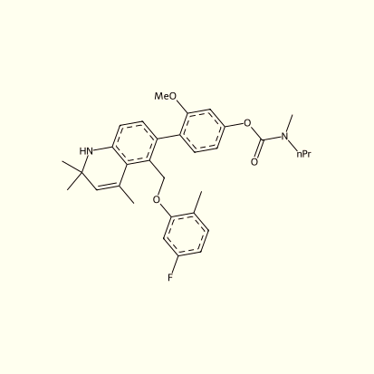 CCCN(C)C(=O)Oc1ccc(-c2ccc3c(c2COc2cc(F)ccc2C)C(C)=CC(C)(C)N3)c(OC)c1